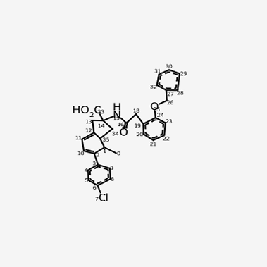 CC1C(c2ccc(Cl)cc2)=CC=C2CC(NC(=O)Cc3ccccc3OCc3ccccc3)(C(=O)O)CC21